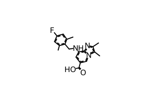 Cc1cc(F)cc(C)c1CNc1cc(C(=O)O)cn2c(C)c(C)nc12